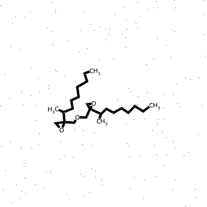 CCCCCCCC(C)C1(COCC2(C(C)CCCCCCC)CO2)CO1